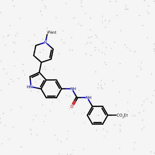 CCCC(C)N1C=CC(c2c[nH]c3ccc(NC(=O)Nc4cccc(C(=O)OCC)c4)cc23)CC1